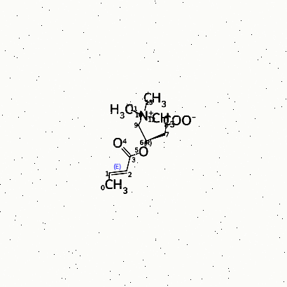 C/C=C/C(=O)O[C@H](CC(=O)[O-])C[N+](C)(C)C